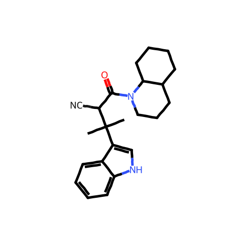 CC(C)(c1c[nH]c2ccccc12)C(C#N)C(=O)N1CCCC2CCCCC21